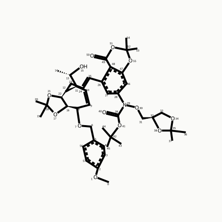 COc1ccc(COC(/C=C\[C@@H](C)[C@H](C)O)[C@H]2OC(C)(C)O[C@H]2C/C=C/c2cc(N(OC[C@H]3COC(C)(C)O3)C(=O)OC(C)(C)C)cc3c2C(=O)OC(C)(C)O3)cc1